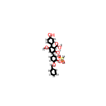 COC(=O)c1c(OC)c(-c2ccc(OCc3ccccc3)c(OS(C)(=O)=O)c2)cc(OC)c1-c1ccc(O)cc1